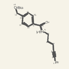 CC(C)C#CCCCNC(=O)c1ccc(COCC(C)C)cc1